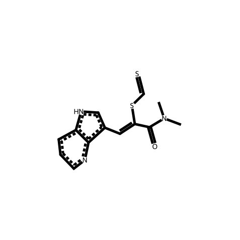 CN(C)C(=O)/C(=C/c1c[nH]c2cccnc12)SC=S